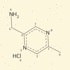 Cc1cnc(CN)cn1.Cl